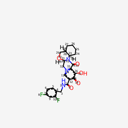 O=C(NCc1ccc(F)cc1F)c1cn2c(c(O)c1=O)C(=O)N1[C@@H]3CCCC[C@H]3CO[C@@H]1C2